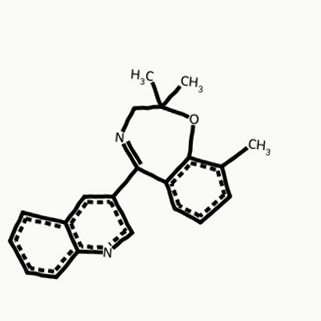 Cc1cccc2c1OC(C)(C)CN=C2c1cnc2ccccc2c1